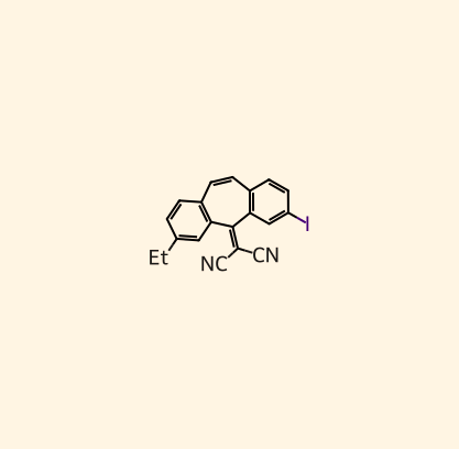 CCc1ccc2c(c1)C(=C(C#N)C#N)c1cc(I)ccc1C=C2